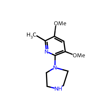 COc1cc(OC)c(N2CCNCC2)nc1C